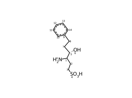 NC(CCS(=O)(=O)O)[C@@H](O)CCc1ccccc1